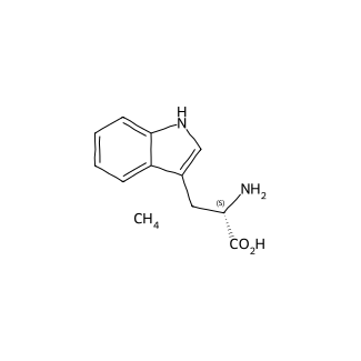 C.N[C@@H](Cc1c[nH]c2ccccc12)C(=O)O